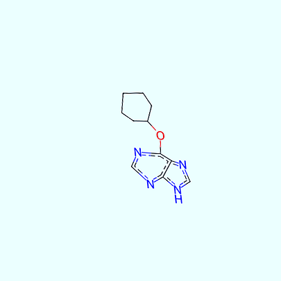 c1nc(OC2CCCCC2)c2nc[nH]c2n1